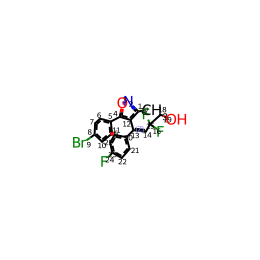 Cc1noc(-c2ccc(Br)cc2)c1/C(=C\C(F)(F)CO)c1ccc(F)cc1